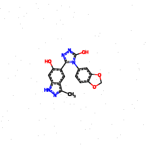 Cc1n[nH]c2cc(O)c(-c3nnc(O)n3-c3ccc4c(c3)OCO4)cc12